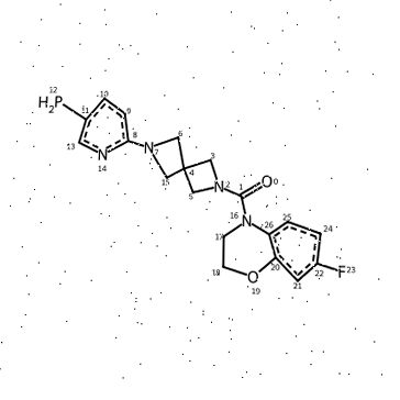 O=C(N1CC2(C1)CN(c1ccc(P)cn1)C2)N1CCOc2cc(F)ccc21